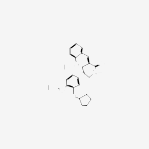 COc1ccccc1C=C1C[C@@H](c2ccc(OC)c(OC3CCCC3)c2)CNC1=O